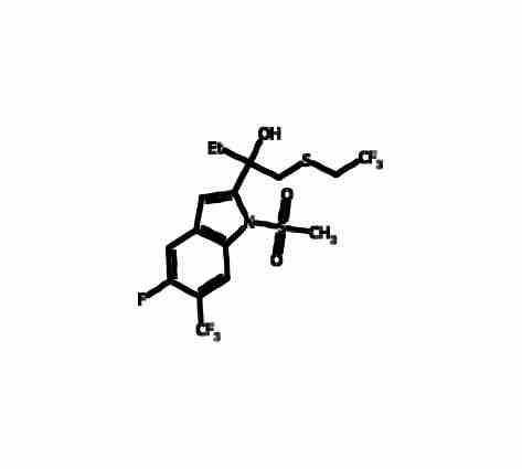 CCC(O)(CSCC(F)(F)F)c1cc2cc(F)c(C(F)(F)F)cc2n1S(C)(=O)=O